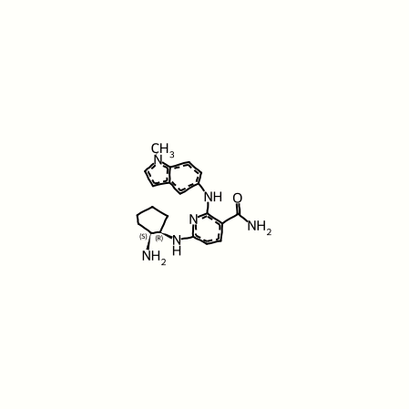 Cn1ccc2cc(Nc3nc(N[C@@H]4CCCC[C@@H]4N)ccc3C(N)=O)ccc21